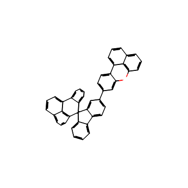 c1ccc2c(c1)-c1ccc(-c3ccc4c(c3)Oc3cccc5cccc-4c35)cc1C21c2ccccc2-c2cccc3cccc1c23